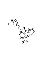 CCN(CC)CCn1nc2c3c(c([N+](=O)[O-])ccc31)Sc1cccnc1-2